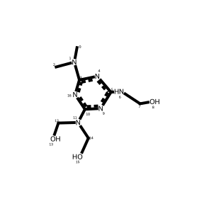 CN(C)c1nc(NCO)nc(N(CO)CO)n1